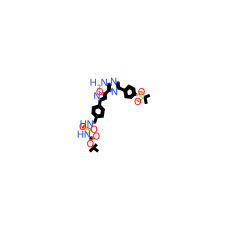 CC(C)S(=O)(=O)c1ccc(-c2cnc(N)c(-c3cc(-c4ccc(CNS(=O)(=O)NC(=O)OC(C)(C)C)cc4)no3)n2)cc1